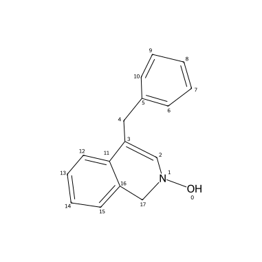 ON1C=C(Cc2ccccc2)c2ccccc2C1